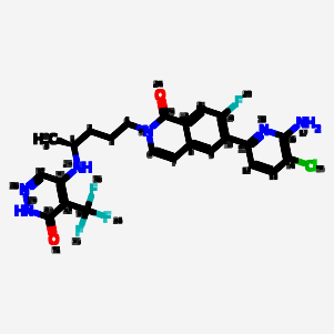 C[C@@H](CCCn1ccc2cc(-c3ccc(Cl)c(N)n3)c(F)cc2c1=O)Nc1cn[nH]c(=O)c1C(F)(F)F